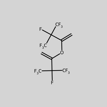 C=C(OC(=C)C(F)(C(F)(F)F)C(F)(F)F)C(F)(C(F)(F)F)C(F)(F)F